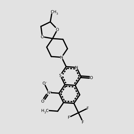 CCc1c(C(F)(F)F)cc2c(=O)nc(N3CCC4(CC3)OCC(C)O4)sc2c1[N+](=O)[O-]